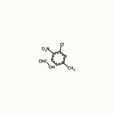 Cc1ccc([N+](=O)[O-])c(Cl)n1.O=CO